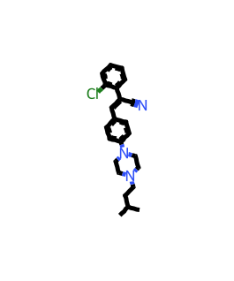 CC(C)CCN1CCN(c2ccc(/C=C(\C#N)c3ccccc3Cl)cc2)CC1